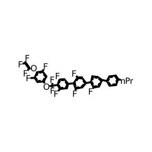 CCCc1ccc(-c2ccc(-c3cc(F)c(-c4cc(F)c(C(F)(F)Oc5cc(F)c(OC(F)=C(F)F)c(F)c5)c(F)c4)c(F)c3)c(F)c2)cc1